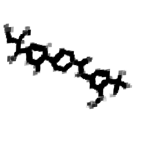 COc1cc(NC(=O)N2CC=C(c3ncc([C@@H](O)[C@H](O)CO)cc3F)CC2)ccc1C(F)(F)F